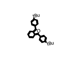 CC(C)(C)c1ccc(-c2oc(-c3ccc(C(C)(C)C)cc3)c3ccccc23)cc1